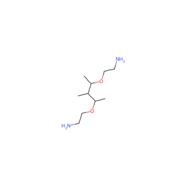 CC(OCCN)C(C)C(C)OCCN